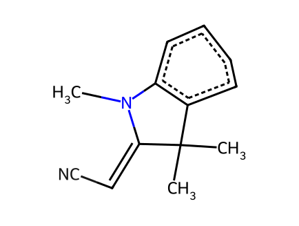 CN1C(=CC#N)C(C)(C)c2ccccc21